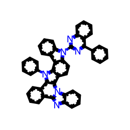 c1ccc(-c2nc(-n3c4ccccc4c4c3ccc3c4n(-c4ccccc4)c4c5ccccc5c5nc6ccccc6n5c34)nc3ccccc23)cc1